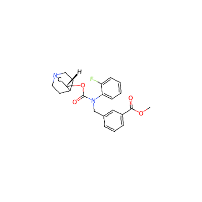 COC(=O)c1cccc(CN(C(=O)O[C@H]2CN3CCC2CC3)c2ccccc2F)c1